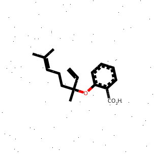 C=CC(C)(CCC=C(C)C)Oc1ccccc1C(=O)O